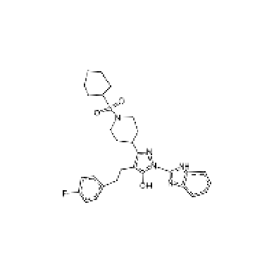 O=S(=O)(C1CCCCC1)N1CCC(c2nn(-c3nc4ccccc4[nH]3)c(O)c2CCc2ccc(F)cc2)CC1